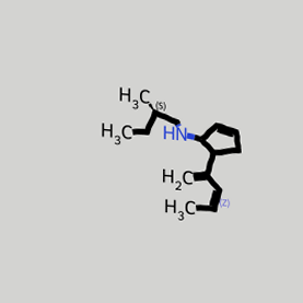 C=C(/C=C\C)C1CC=CC1NC[C@@H](C)CC